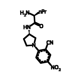 CCC[C@H](N)C(=O)N[C@H]1CCN(c2ccc([N+](=O)[O-])cc2C#N)C1